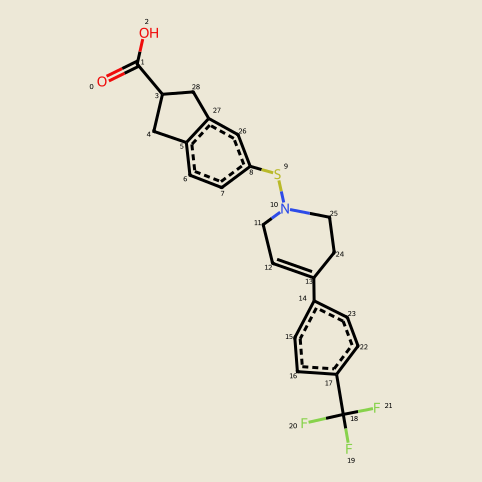 O=C(O)C1Cc2ccc(SN3CC=C(c4ccc(C(F)(F)F)cc4)CC3)cc2C1